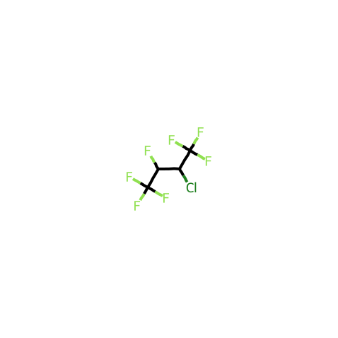 FC(C(Cl)C(F)(F)F)C(F)(F)F